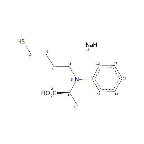 C[C@@H](C(=O)O)N(CCCCS)c1ccccc1.[NaH]